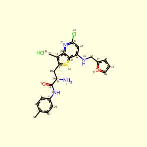 Cc1ccc(NC(=O)[C@H](N)Cc2sc3c(NCc4ccco4)cc(Cl)nc3c2C)cc1.Cl